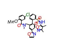 COc1ccc(Cl)cc1C(=O)N(C)Cc1cc(-c2ncco2)ccc1-c1ccccc1S(=O)(=O)Nc1onc(C)c1C